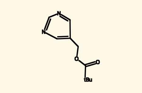 CC(C)(C)C(=O)OCc1cncnc1